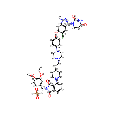 CCOc1cc([C@@H](CS(C)(=O)=O)N2C(=O)c3cccc(N4CCC(CCN5CCN(c6ccc(Oc7cc8c(cc7F)c(N7CCC(=O)NC7=O)nn8C)cc6)CC5)CC4)c3C2=O)ccc1OC